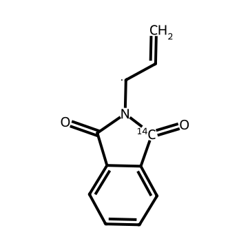 C=C[CH]N1C(=O)c2ccccc2[14C]1=O